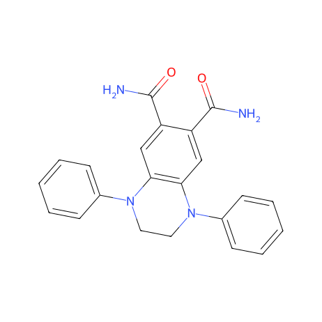 NC(=O)c1cc2c(cc1C(N)=O)N(c1ccccc1)CCN2c1ccccc1